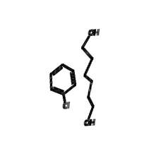 Clc1ccccc1.OCCCCCCO